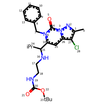 Cc1nn2c(=O)n(Cc3ccccc3)c(C(NCCNC(=O)OC(C)(C)C)C(C)C)cc2c1Cl